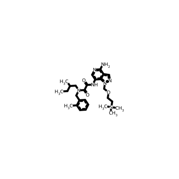 CCC(C)CN(Cc1ccccc1C)C(=O)C(=O)Nc1cnc(N)c2cnn(COCC[Si](C)(C)C)c12